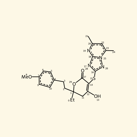 CCC1(CCc2ccc(OC)cc2)CC(O)=C(Sc2nc3nc(C)cc(C)n3n2)C(=O)O1